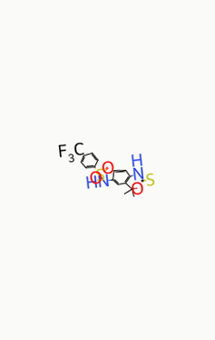 CC1(C)OC(=S)Nc2ccc(NS(=O)(=O)c3ccc(C(F)(F)F)cc3)cc21